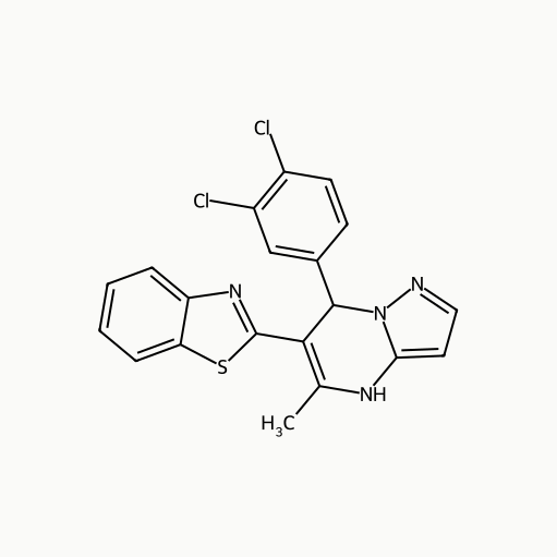 CC1=C(c2nc3ccccc3s2)C(c2ccc(Cl)c(Cl)c2)n2nccc2N1